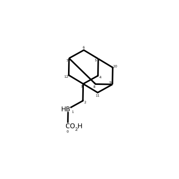 O=C(O)BCC12CC3CC(CC(C3)C1)C2